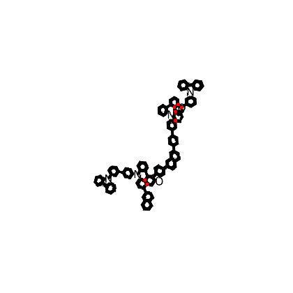 C1=Cc2c(oc3cccc(-c4ccccc4N(c4ccc(-c5ccc(-c6ccc7ccc(-c8ccc9c(c8)oc8cccc(-c%10ccccc%10N(c%10ccc(-c%11cccc(-n%12c%13ccccc%13c%13ccccc%13%12)c%11)cc%10)c%10ccc(-c%11ccc%12ccccc%12c%11)cc%10)c89)cc7c6)cc5)cc4)c4ccc(-c5cccc(-n6c7ccccc7c7ccccc76)c5)cc4)c23)CC1